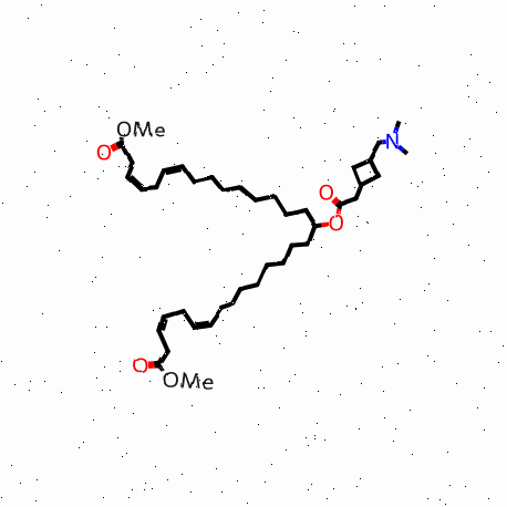 COC(=O)C/C=C\C/C=C\CCCCCCCCC(CCCCCCCC/C=C\C/C=C\CC(=O)OC)OC(=O)CC1CC(CN(C)C)C1